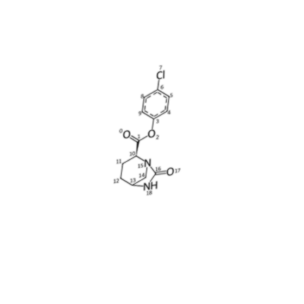 O=C(Oc1ccc(Cl)cc1)[C@@H]1CCC2CN1C(=O)N2